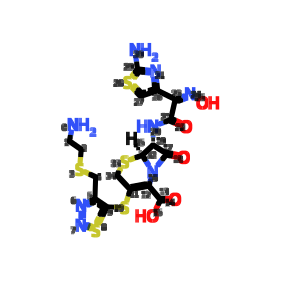 NCCSCc1nnsc1SC1=C(C(=O)O)N2C(=O)[C@@H](NC(=O)/C(=N\O)c3csc(N)n3)[C@@H]2SC1